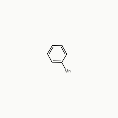 [Mn][c]1ccccc1